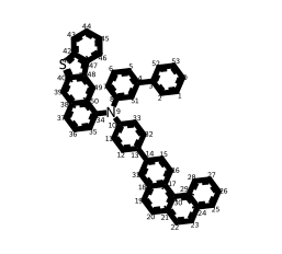 c1ccc(-c2cccc(N(c3ccc(-c4ccc5c(ccc6ccc7ccccc7c65)c4)cc3)c3cccc4cc5sc6ccccc6c5cc34)c2)cc1